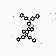 c1ccc(-c2ccc(N(c3ccc(-c4ccccc4)cc3)c3ccc4c(c3)Oc3cccc5c3c-4cc3c4ccccc4c(N(c4ccc(-c6ccccc6)cc4)c4ccc(-c6ccccc6)cc4)cc53)cc2)cc1